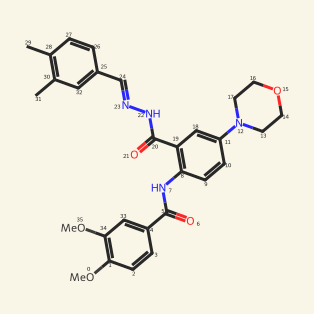 COc1ccc(C(=O)Nc2ccc(N3CCOCC3)cc2C(=O)NN=Cc2ccc(C)c(C)c2)cc1OC